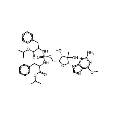 COc1nc(N)nc2c1ncn2[C@@H]1O[C@H](COP(=O)(NC(Cc2ccccc2)C(=O)OC(C)C)NC(Cc2ccccc2)C(=O)OC(C)C)[C@H](O)C1(C)O